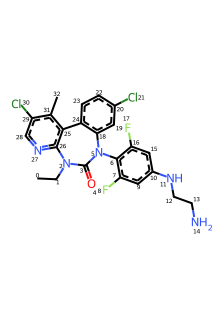 CCN1C(=O)N(c2c(F)cc(NCCN)cc2F)c2cc(Cl)ccc2-c2c1ncc(Cl)c2C